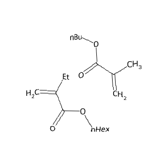 C=C(C)C(=O)OCCCC.C=C(CC)C(=O)OCCCCCC